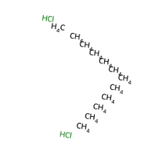 C.C.C.C.C.C.C.C.C.C.C.C.Cl.Cl